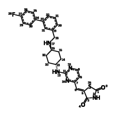 O=C1NC(=O)/C(=C/c2ccnc(N[C@H]3CC[C@H](NCc4cccc(-c5ccc(F)cc5)c4)CC3)n2)S1